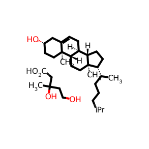 CC(C)CCCC(C)[C@H]1CC[C@H]2[C@@H]3CC=C4C[C@@H](O)CC[C@]4(C)[C@H]3CC[C@]12C.CC(O)(CCO)CC(=O)O